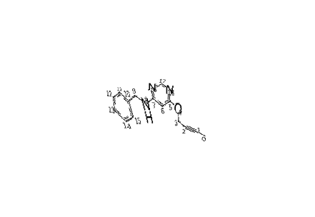 CC#CCOc1cc(NCc2ccccc2)ncn1